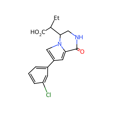 CCC(C(=O)O)C1CNC(=O)c2cc(-c3cccc(Cl)c3)cn21